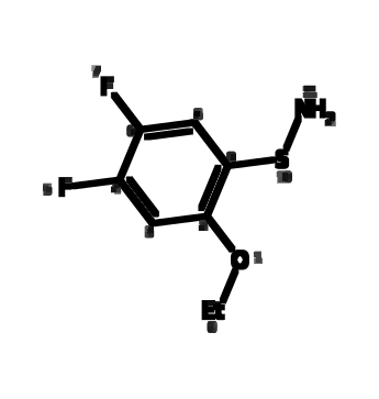 CCOc1cc(F)c(F)cc1SN